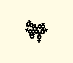 CC(C)(C)c1ccc(N(c2ccc(C(C)(C)C)cc2)c2cc3c4c(c2)N2c5c(cc(C(C)(C)C)cc5C5(C)CCCCC25C)B4c2c(oc4cc5c(cc24)C(C)(C)CCC5(C)C)N3c2ccc3c(c2)C(C)(C)CCC3(C)C)cc1